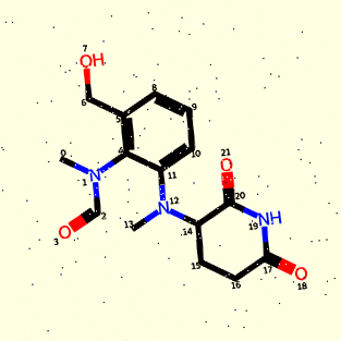 CN(C=O)c1c(CO)cccc1N(C)C1CCC(=O)NC1=O